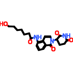 O=C1CCC(n2ccc3c(NC(=O)CCCCCCO)cccc3c2=O)C(=O)N1